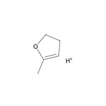 CC1=CCCO1.[H+]